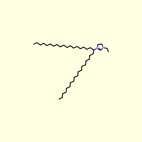 CCCCCCCCCCCCCCCCCCC(CCCCCCCCCCCCCCCCCC)[N+]1=CN(CC)CC1